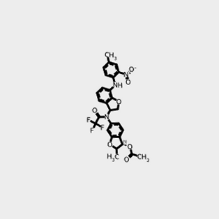 CC(=O)O[C@H]1c2ccc(N(C(=O)C(F)(F)F)C3COc4c(Nc5ccc(C)cc5[N+](=O)[O-])cccc43)cc2OC1C